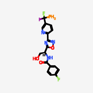 O=C(N[C@@H](CO)c1nc(-c2ccc(C(F)(P)I)cn2)no1)c1ccc(F)cc1